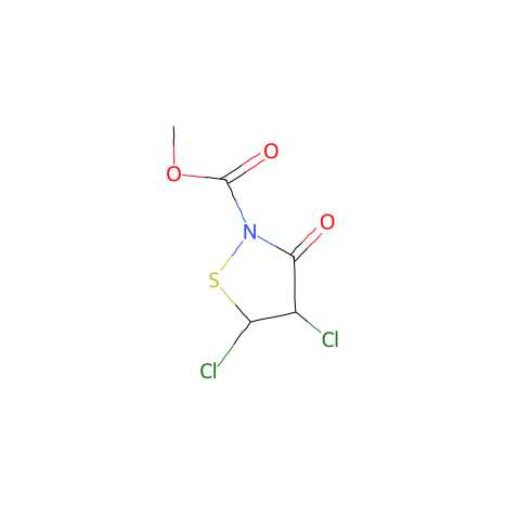 COC(=O)N1SC(Cl)C(Cl)C1=O